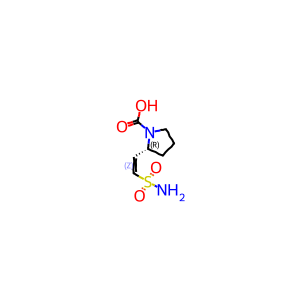 NS(=O)(=O)/C=C\[C@H]1CCCN1C(=O)O